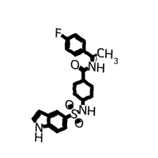 C[C@@H](NC(=O)C1CCC(NS(=O)(=O)c2ccc3[nH]ccc3c2)CC1)c1ccc(F)cc1